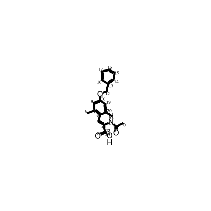 CC(=O)N/C(=C\c1c(C)cc(OCc2ccccc2)cc1C)C(=O)O